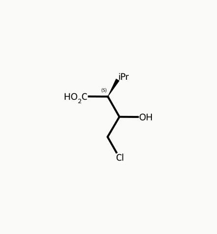 CC(C)[C@H](C(=O)O)C(O)CCl